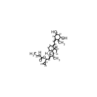 C=C1/C(=C\C=C2/CCC[C@]3(C)[C@@H]([C@H](C)/C=C/[C@@H](OC(=O)NCC)C4CC4)CC[C@@H]23)C[C@@H](O)C[C@@H]1O